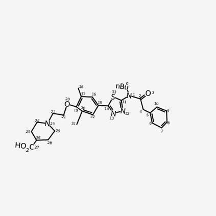 CCCCN(C(=O)Cc1ccccc1)c1nnc(-c2cc(C)c(OCCN3CCC(C(=O)O)CC3)c(C)c2)s1